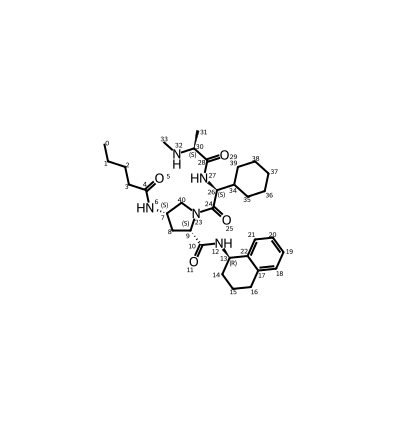 CCCCC(=O)N[C@H]1C[C@@H](C(=O)N[C@@H]2CCCc3ccccc32)N(C(=O)[C@@H](NC(=O)[C@H](C)NC)C2CCCCC2)C1